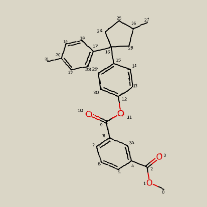 COC(=O)c1cccc(C(=O)Oc2ccc(C3(c4ccc(C)cc4)CCC(C)C3)cc2)c1